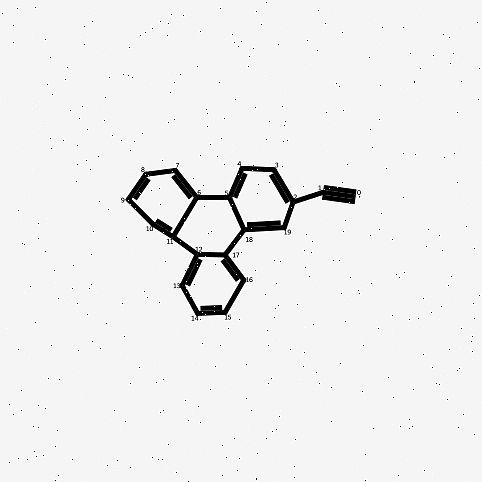 [C]#Cc1ccc2c3ccccc3c3ccccc3c2c1